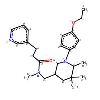 CCOc1ccc(N2CC(CN(C)C(=O)CCc3cccnc3)CC(C)(C)C2C)cc1